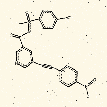 CS(=O)(=NC(=O)c1cncc(C#Cc2ccc([N+](=O)[O-])cc2)c1)c1ccc(Cl)cc1